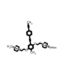 CC#Cc1ccc(C#Cc2cc(OCC[N+]34CC[N+](C)(CC3)CC4)c(C)cc2OCC[N+]23CC[N+](CCCCCC)(CC2)CC3)cc1